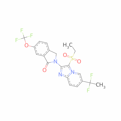 CCS(=O)(=O)c1c(N2Cc3ccc(OC(F)(F)F)cc3C2=O)nc2ccc(C(C)(F)F)cn12